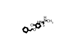 CNC(=S)Nc1ccc(OCCc2ccccc2)c(Cl)c1